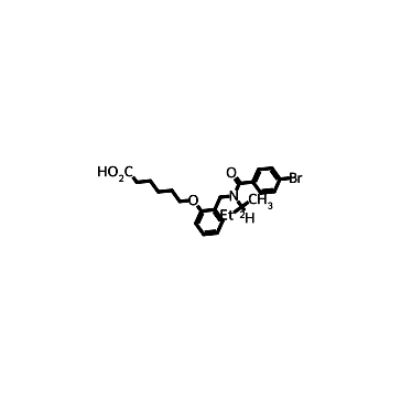 [2H]C(C)(CC)N(Cc1ccccc1OCCCCCC(=O)O)C(=O)c1ccc(Br)cc1